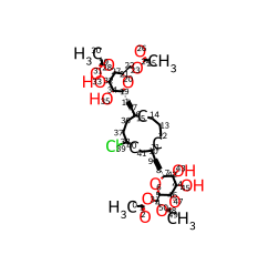 CC(=O)OC[C@H]1O[C@H](C#CC2CCCCCC(C#C[C@H]3O[C@H](COC(C)=O)[C@@H](OC(C)=O)[C@H](O)[C@@H]3O)CCC(Cl)CC2)[C@@H](O)[C@@H](O)[C@@H]1OC(C)=O